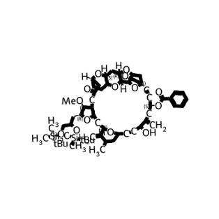 C=C1C[C@@H](OC(=O)c2ccccc2)CC[C@@]23CC4O[C@H]5C(O2)[C@H]2O[C@H](CCC2O[C@H]5C4O3)CC(=O)CC2C(C[C@H]3OC(CCC1O)CC(C)C3=C)O[C@H](CC(CO[Si](C)(C)C(C)(C)C)O[Si](C)(C)C(C)(C)C)[C@@H]2OC